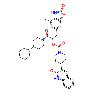 Cc1cc(CC(OC(=O)N2CCC(c3cc4ccccc4[nH]c3=O)CC2)C(=O)N2CCC(N3CCCCC3)CC2)cc2oc(=O)[nH]c12